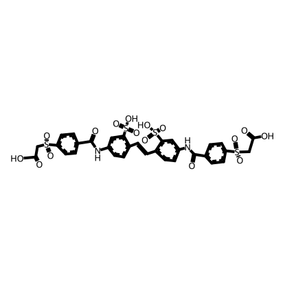 O=C(O)CS(=O)(=O)c1ccc(C(=O)Nc2ccc(/C=C/c3ccc(NC(=O)c4ccc(S(=O)(=O)CC(=O)O)cc4)cc3S(=O)(=O)O)c(S(=O)(=O)O)c2)cc1